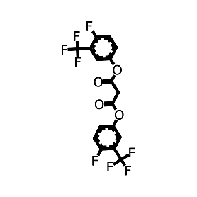 O=C(CC(=O)Oc1ccc(F)c(C(F)(F)F)c1)Oc1ccc(F)c(C(F)(F)F)c1